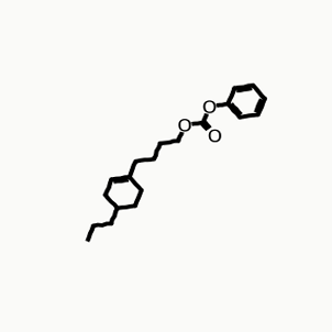 CCCC1CC=C(CCCCOC(=O)Oc2ccccc2)CC1